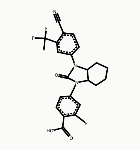 N#Cc1ccc(N2C(=O)N(c3ccc(C(=O)O)c(F)c3)C3CCCCC32)cc1C(F)(F)F